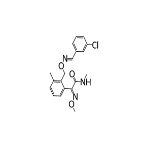 CNC(=O)/C(=N/OC)c1cccc(C)c1CO/N=C/c1cccc(Cl)c1